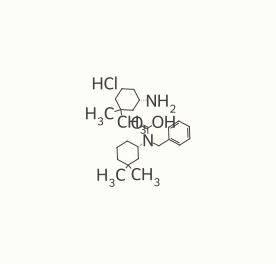 CC1(C)CCC[C@H](N(Cc2ccccc2)C(=O)O)C1.CC1(C)CCC[C@H](N)C1.Cl